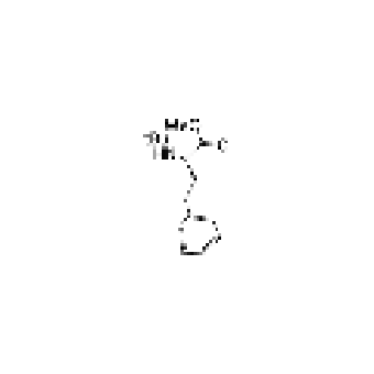 COC(=O)[C@@H](CCc1ccccc1)NC(C)(C)C